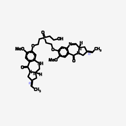 C/C=C1\C[C@H]2CNc3cc(OCCP(=O)(CCO)CCOc4cc5c(cc4OC)C(=O)N4C/C(=C/C)C[C@H]4C=N5)c(OC)cc3C(=O)N2C1